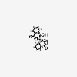 O=C(Cl)c1ccccc1B(O)OB(O)c1ccccc1C(=O)Cl